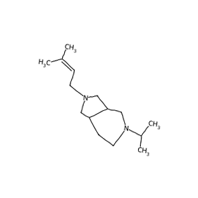 CC(C)=CCN1CC2CCN(C(C)C)CC2C1